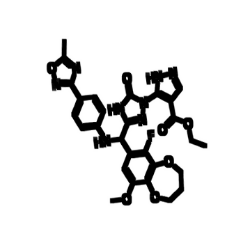 CCOC(=O)c1cn[nH]c1-n1nc(C(Nc2ccc(-c3noc(C)n3)cc2)c2cc(OC)c3c(c2F)OCCCO3)[nH]c1=O